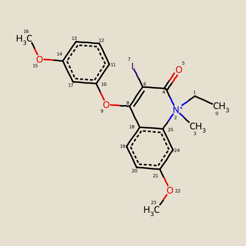 CC[N+]1(C)C(=O)C(I)=C(Oc2cccc(OC)c2)c2ccc(OC)cc21